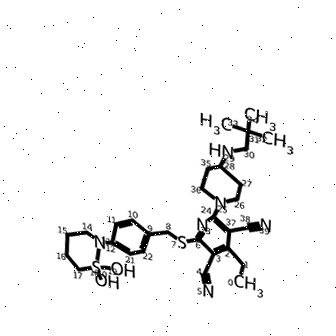 CCc1c(C#N)c(SCc2ccc(N3CCCCS3(O)O)cc2)nc(N2CCC(NCC(C)(C)C)CC2)c1C#N